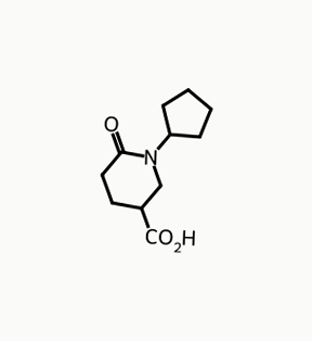 O=C(O)C1CCC(=O)N(C2CCCC2)C1